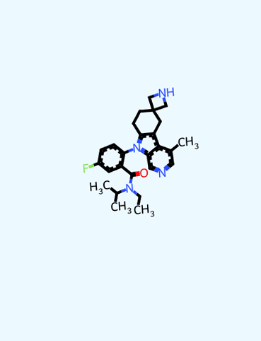 CCN(C(=O)c1cc(F)ccc1-n1c2c(c3c(C)cncc31)CC1(CC2)CNC1)C(C)C